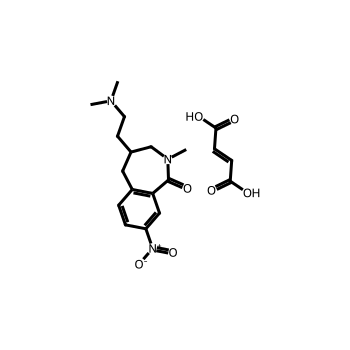 CN(C)CCC1Cc2ccc([N+](=O)[O-])cc2C(=O)N(C)C1.O=C(O)C=CC(=O)O